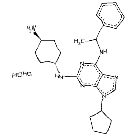 CC(Nc1nc(N[C@H]2CC[C@H](N)CC2)nc2c1ncn2C1CCCC1)c1ccccc1.Cl.Cl